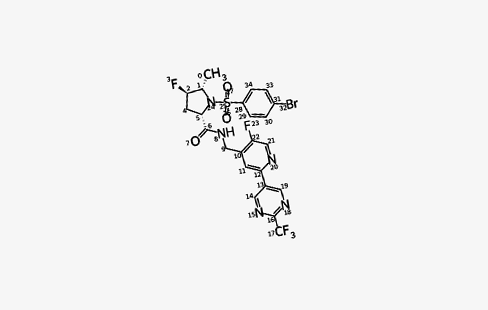 C[C@H]1[C@H](F)C[C@@H](C(=O)NCc2cc(-c3cnc(C(F)(F)F)nc3)ncc2F)N1S(=O)(=O)c1ccc(Br)cc1